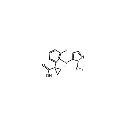 Cn1nccc1Nc1c(F)cccc1C1(C(=O)O)CC1